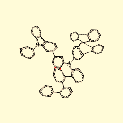 c1ccc(-c2ccccc2-c2ccccc2-c2ccccc2N(c2cccc(-c3ccc4c5ccccc5n(-c5ccccc5)c4c3)c2)c2ccc3c(c2)-c2ccccc2C32c3ccccc3-c3ccccc32)cc1